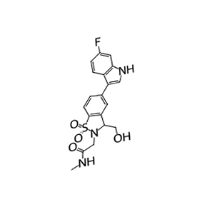 CNC(=O)CN1C(CO)c2cc(-c3c[nH]c4cc(F)ccc34)ccc2S1(=O)=O